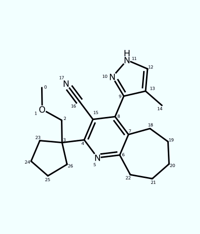 COCC1(c2nc3c(c(-c4n[nH]cc4C)c2C#N)CCCCC3)CCCC1